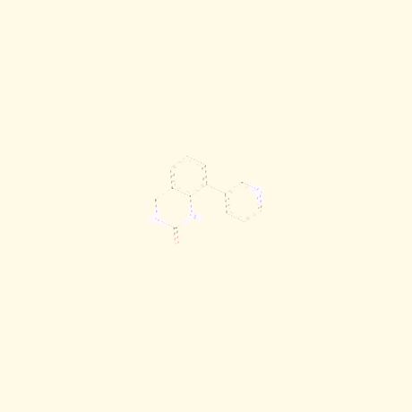 O=C1NCc2cccc(-c3cccnc3)c2N1